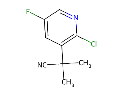 CC(C)(C#N)c1cc(F)cnc1Cl